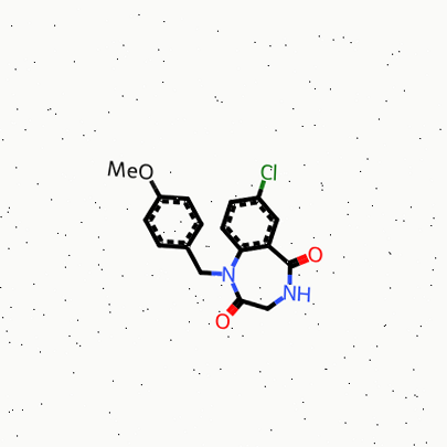 COc1ccc(CN2C(=O)CNC(=O)c3cc(Cl)ccc32)cc1